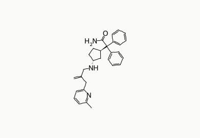 C=C(CN[C@@H]1CC[C@@H](C(C(N)=O)(c2ccccc2)c2ccccc2)C1)Cc1cccc(C)n1